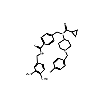 COc1ccc(CNC(=O)c2ccc(CN(C(=O)C3CC3)C3CCN(Cc4ccc(Cl)cc4)CC3)cc2)cc1OC